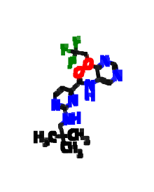 CC(C)(C)CNc1nccc(C(=O)Nc2cncnc2OCC(F)(F)F)n1